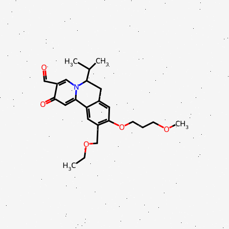 CCOCc1cc2c(cc1OCCCOC)CC(C(C)C)n1cc(C=O)c(=O)cc1-2